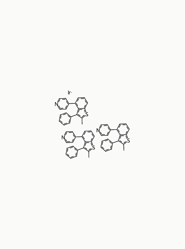 Cc1sc2cccc(-c3ccncc3)c2c1-c1ccccc1.Cc1sc2cccc(-c3ccncc3)c2c1-c1ccccc1.Cc1sc2cccc(-c3ccncc3)c2c1-c1ccccc1.[Ir]